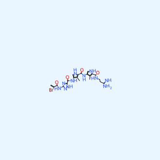 C=C(Br)C(=O)Nc1n[nH]c(C(=O)Nc2c[nH]c(C(=O)Nc3c[nH]c(C(=O)NCCC(=N)N)c3C)c2C)n1